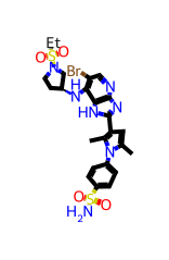 CCS(=O)(=O)N1CC[C@H](Nc2c(Br)cnc3nc(-c4cc(C)n(-c5ccc(S(N)(=O)=O)cc5)c4C)[nH]c23)C1